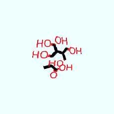 C=CC(=O)O.OCC(CO)C(CO)C(O)O